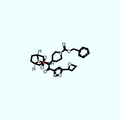 O=C(NC1C[C@H]2CC[C@@H](C1)N2S(=O)(=O)CC1CCN(C(=O)OCc2ccccc2)CC1)c1cc(C2CCO2)on1